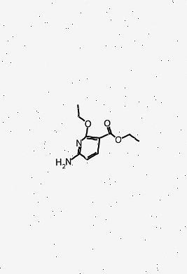 CCOC(=O)c1ccc(N)nc1OCC